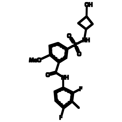 COc1ccc(S(=O)(=O)NC2CC(O)C2)cc1C(=O)Nc1ccc(F)c(C)c1F